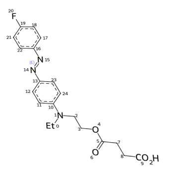 CCN(CCOC(=O)CCC(=O)O)c1ccc(/N=N/c2ccc(F)cc2)cc1